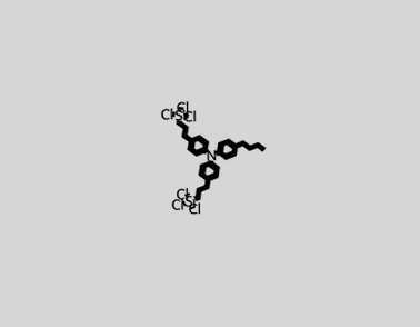 CCCCc1ccc(N(c2ccc(CCC[Si](Cl)(Cl)Cl)cc2)c2ccc(CCC[Si](Cl)(Cl)Cl)cc2)cc1